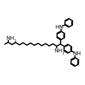 CC(N)CCCCCCCCCCCCC(N)C(c1ccc(Nc2ccccc2)cc1)c1ccc(Nc2ccccc2)cc1